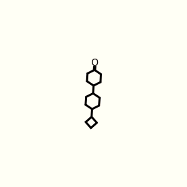 O=C1CCC(C2CCC(C3CCC3)CC2)CC1